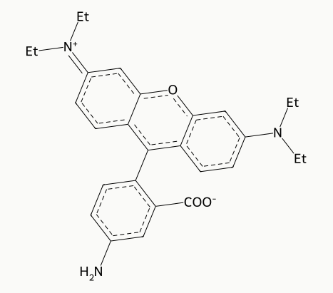 CCN(CC)c1ccc2c(-c3ccc(N)cc3C(=O)[O-])c3ccc(=[N+](CC)CC)cc-3oc2c1